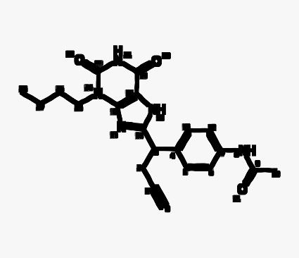 C#CCC(c1ccc(NC(C)=O)cc1)c1nc2c([nH]1)c(=O)[nH]c(=O)n2CCCC